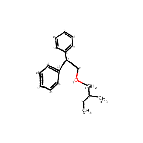 CCC(C)[SiH2]OCC(c1ccccc1)c1ccccc1